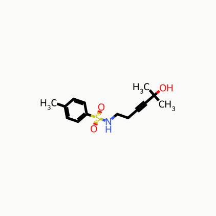 Cc1ccc(S(=O)(=O)NCCC#CC(C)(C)O)cc1